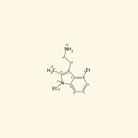 CCc1cccc2c1c(CCN)c(C)n2CC